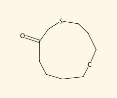 O=C1CCCCCCCCSC1